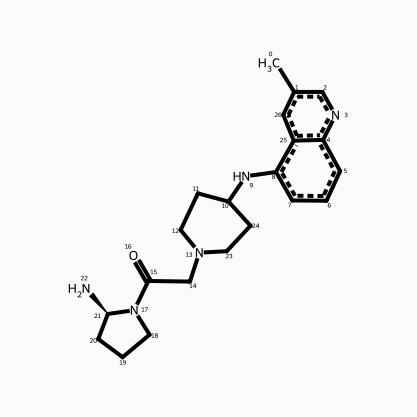 Cc1cnc2cccc(NC3CCN(CC(=O)N4CCC[C@H]4N)CC3)c2c1